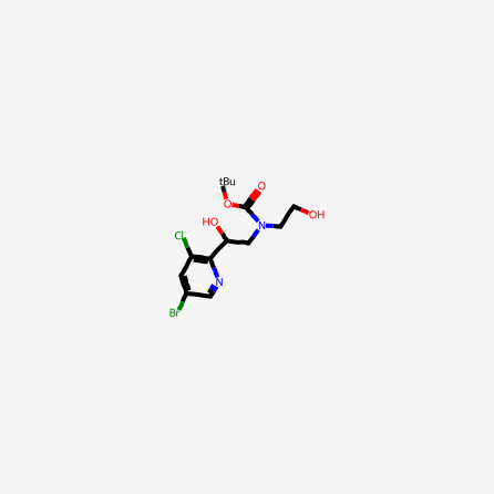 CC(C)(C)OC(=O)N(CCO)CC(O)c1ncc(Br)cc1Cl